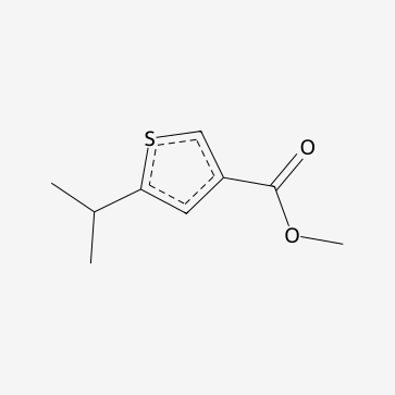 COC(=O)c1csc(C(C)C)c1